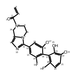 C=CC(=O)N1CCn2c(cnc2-c2cc(F)c(-c3c(F)ccc(Cl)c3O)c(Cl)c2)C1